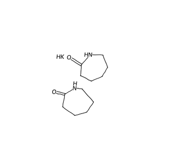 O=C1CCCCCN1.O=C1CCCCCN1.[KH]